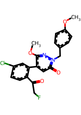 COc1ccc(Cn2nc(OC)c(-c3cc(Cl)ccc3C(=O)CF)cc2=O)cc1